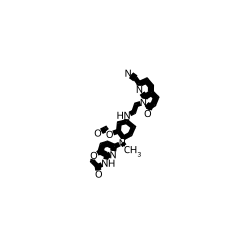 CN(c1ccc2c(n1)NC(=O)CO2)C1CCC(NCCn2c(=O)ccc3ccc(C#N)nc32)CC1OC=O